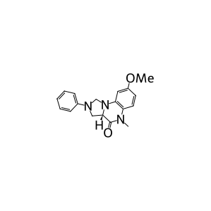 COc1ccc2c(c1)N1CN(c3ccccc3)C[C@H]1C(=O)N2C